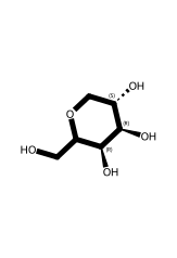 OCC1OC[C@H](O)[C@@H](O)[C@H]1O